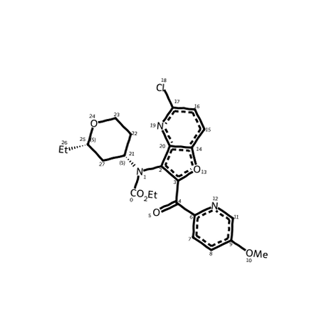 CCOC(=O)N(c1c(C(=O)c2ccc(OC)cn2)oc2ccc(Cl)nc12)[C@H]1CCO[C@@H](CC)C1